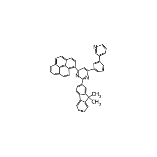 CC1(C)c2ccccc2-c2ccc(-c3nc(-c4cccc(-c5cccnc5)c4)cc(-c4ccc5ccc6cccc7ccc4c5c67)n3)cc21